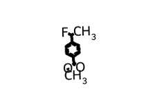 COC(=O)c1ccc(C(C)F)cc1